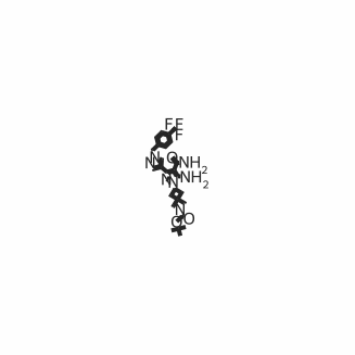 CC(C)(C)OC(=O)N1CC2(CC(n3nc(-c4cnn(Cc5ccc(C(F)(F)F)cc5)c4)c(C(N)=O)c3N)C2)C1